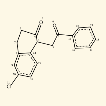 O=C(CC1C(=O)CCc2cc(Cl)ccc21)c1ccccc1